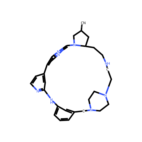 N#CC1CC2CCNCCN3CCN(CC3)Cc3cccc(c3)Nc3cc(ccn3)-c3cnc(nc3)N2C1